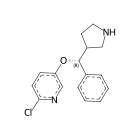 Clc1ccc(O[C@@H](c2ccccc2)C2CCNC2)cn1